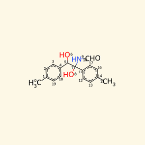 Cc1ccc(C(O)C(O)(NC=O)c2ccc(C)cc2)cc1